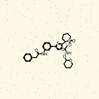 O=C(C[C@]1(c2ccc(-c3cccc(NC(=O)Cc4ccccc4)c3)s2)CCCCS1(=O)=O)NOC1CCCCO1